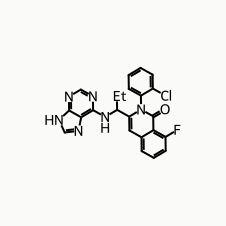 CCC(Nc1ncnc2[nH]cnc12)c1cc2cccc(F)c2c(=O)n1-c1ccccc1Cl